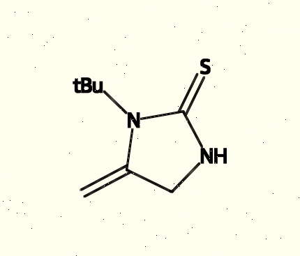 C=C1CNC(=S)N1C(C)(C)C